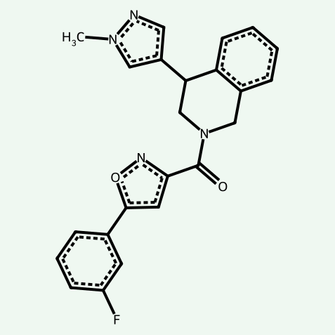 Cn1cc(C2CN(C(=O)c3cc(-c4cccc(F)c4)on3)Cc3ccccc32)cn1